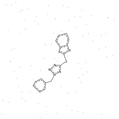 c1ccc(Cn2nnc(Sc3nc4ccccc4s3)n2)cc1